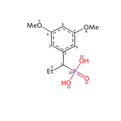 CCC(c1cc(OC)cc(OC)c1)P(=O)(O)O